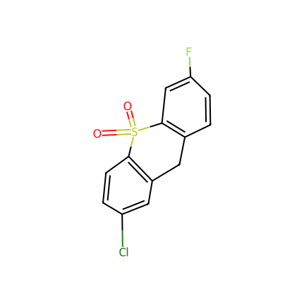 O=S1(=O)c2ccc(Cl)cc2Cc2ccc(F)cc21